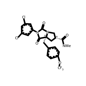 CNC(=O)[C@H]1CN2C(=O)N(c3cc(Cl)cc(Cl)c3)C(=O)[C@]2(Cc2ccc(OC(F)(F)F)cc2)C1